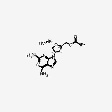 CC(C)C(=O)OC[C@@H]1OC[C@H](n2cnc3c(N)nc(N)nc32)O1.CC(C)O